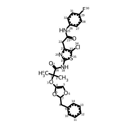 CC(C)(OC1=COC(Cc2ccccc2)O1)C(=O)Nc1nc(CC(=O)Nc2ccc(F)cc2)c(Cl)s1